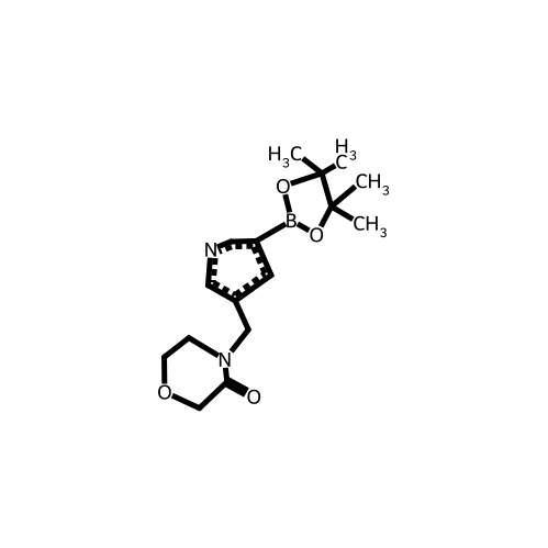 CC1(C)OB(c2cncc(CN3CCOCC3=O)c2)OC1(C)C